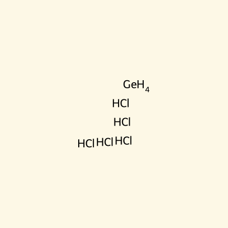 Cl.Cl.Cl.Cl.Cl.[GeH4]